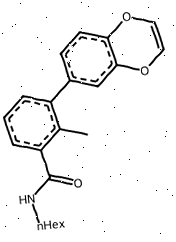 CCCCCCNC(=O)c1cccc(-c2ccc3c(c2)OC=CO3)c1C